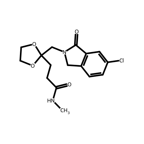 CNC(=O)CCC1(CN2Cc3ccc(Cl)cc3C2=O)OCCO1